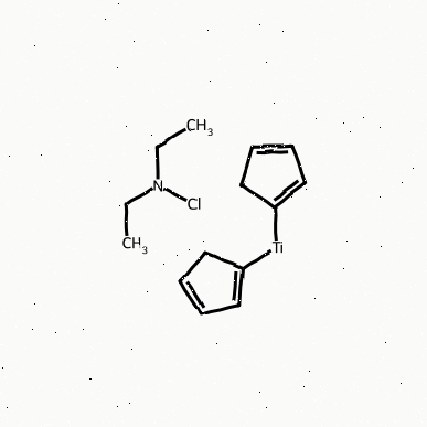 C1=CC[C]([Ti][C]2=CC=CC2)=C1.CCN(Cl)CC